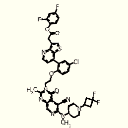 Cc1nc2cnc(N(C)C3CCN(C4CC(F)(F)C4)CC3)c(C#N)c2c(=O)n1CCOc1ccc(Cl)cc1-c1ccnc2c(CC(=O)Oc3ccc(F)cc3F)csc12